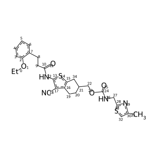 CCOc1ccccc1CCC(=O)Nc1sc2c(c1C#N)CCC(COC(=O)NCc1nc(C)cs1)C2